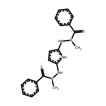 CN(Nc1ccc(NN(C)C(=S)c2ccccc2)[nH]1)C(=S)c1ccccc1